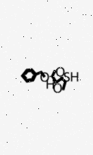 S[C@@]12CCO[C@@H]1[C@H](OCc1ccccc1)CO2